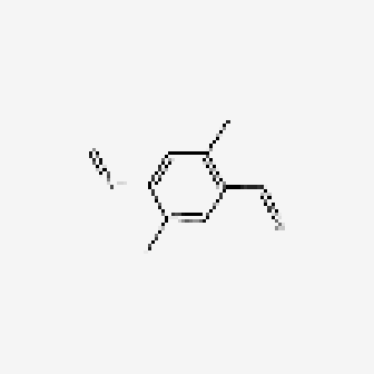 C=Nc1cc(C)c(C=S)cc1C